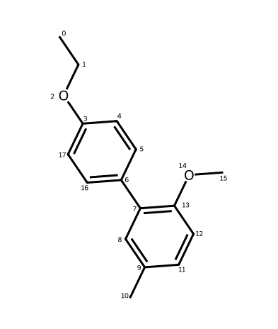 CCOc1ccc(-c2cc(C)ccc2OC)cc1